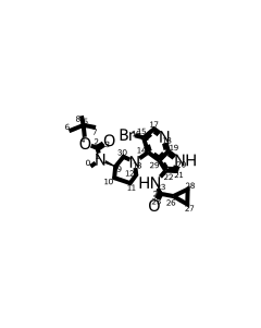 CN(C(=O)OC(C)(C)C)[C@@H]1CCCN(c2c(Br)cnc3[nH]cc(NC(=O)C4CC4)c23)C1